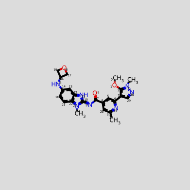 COc1c(-c2cc(C(=O)/N=c3\[nH]c4cc(NC5COC5)ccc4n3C)cc(C)n2)cnn1C